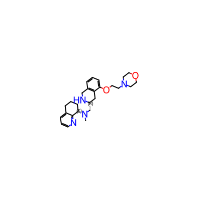 CN(C[C@H]1Cc2c(cccc2OCCN2CCOCC2)CN1)[C@H]1CCCc2cccnc21